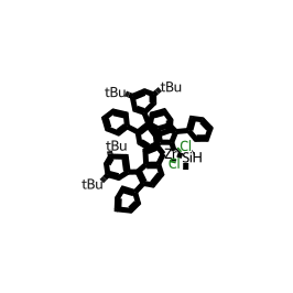 C[SiH](C)[Zr]([Cl])([Cl])([CH]1C(c2ccccc2)=Cc2c1ccc(-c1ccccc1)c2-c1cc(C(C)(C)C)cc(C(C)(C)C)c1)[CH]1C(c2ccccc2)=Cc2c1ccc(-c1ccccc1)c2-c1cc(C(C)(C)C)cc(C(C)(C)C)c1